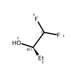 CC[C@@H](O)C(F)F